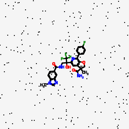 Cn1cnc2cc(C(=O)NCC(O)(c3cc4c(c(-c5ccc(F)cc5)n3)OC[C@]4(C)C(N)=O)C(F)(F)F)ccc21